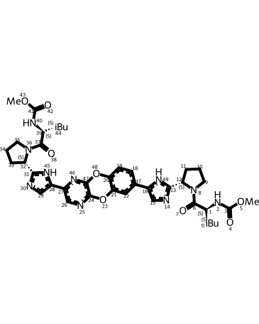 CC[C@H](C)[C@H](NC(=O)OC)C(=O)N1CCC[C@H]1c1ncc(-c2ccc3c(c2)Oc2ncc(-c4cnc([C@@H]5CCCN5C(=O)[C@@H](NC(=O)OC)[C@@H](C)CC)[nH]4)nc2O3)[nH]1